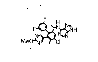 COc1ncc(-c2c(C)c(Cl)cc(C(C)Nc3ncnc4[nH]cnc34)c2-c2cc(F)cc(F)c2)cn1